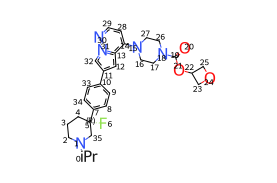 CC(C)N1CCC[C@@](F)(c2ccc(-c3cc4c(N5CCN(C(=O)OC6COC6)CC5)ccnn4c3)cc2)C1